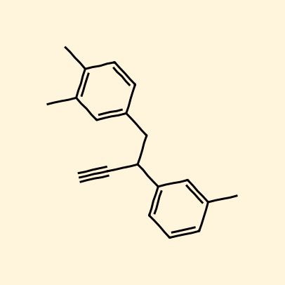 C#CC(Cc1ccc(C)c(C)c1)c1cccc(C)c1